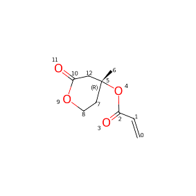 C=CC(=O)O[C@]1(C)CCOC(=O)C1